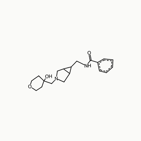 O=C(NCC1C2CN(CC3(O)CCOCC3)CC12)c1ccccc1